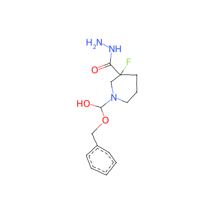 NNC(=O)C1(F)CCCN(C(O)OCc2ccccc2)C1